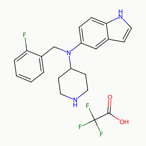 Fc1ccccc1CN(c1ccc2[nH]ccc2c1)C1CCNCC1.O=C(O)C(F)(F)F